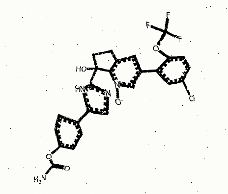 NC(=O)Oc1ccc(-c2cnc(C3(O)CCc4cc(-c5cc(Cl)ccc5OC(F)(F)F)c[n+]([O-])c43)[nH]2)cc1